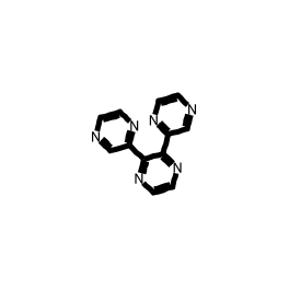 c1cnc(-c2nccnc2-c2cnccn2)cn1